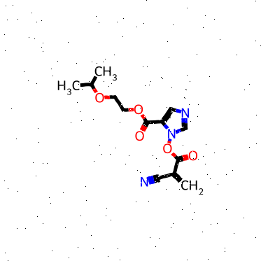 C=C(C#N)C(=O)On1cncc1C(=O)OCCOC(C)C